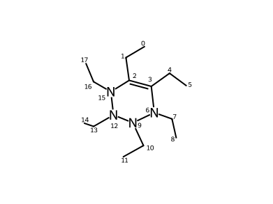 CCc1c(CC)n(CC)n(CC)n(CC)n1CC